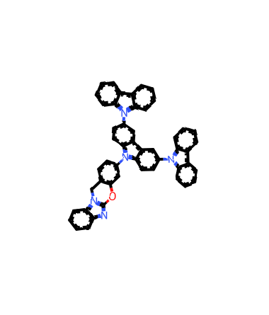 c1ccc2c(c1)nc1n2Cc2ccc(-n3c4ccc(-n5c6ccccc6c6ccccc65)cc4c4cc(-n5c6ccccc6c6ccccc65)ccc43)cc2O1